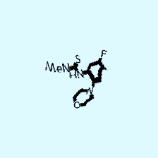 CNC(=S)Nc1cc(F)ccc1N1CCOCC1